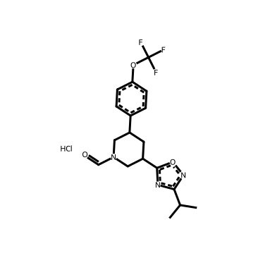 CC(C)c1noc(C2CC(c3ccc(OC(F)(F)F)cc3)CN(C=O)C2)n1.Cl